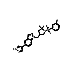 Cc1cccc(S(=O)(=O)N2CC(Cn3ncc4cc(-c5cn[nH]c5)ccc43)CC2(C)C)c1